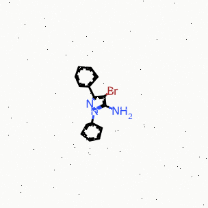 Nc1c(Br)c(-c2ccccc2)nn1-c1ccccc1